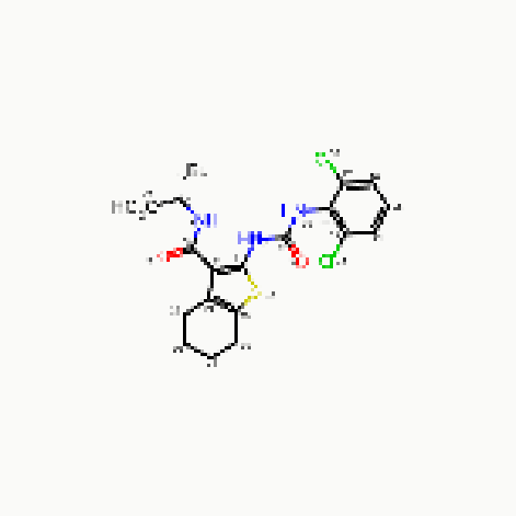 CCC(C)[C@H](NC(=O)c1c(NC(=O)Nc2c(Cl)cccc2Cl)sc2c1CCCC2)C(=O)O